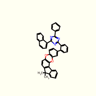 CC1(C)c2ccccc2-c2c1ccc1c2Oc2cc(-c3ccccc3-c3nc(-c4ccccc4)nc(-c4cccc5ccccc45)n3)ccc2O1